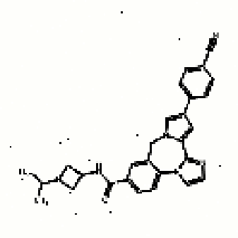 CC(C)N1CC(NC(=O)c2ccc3c(c2)Cn2cc(-c4ccc(C#N)cc4)cc2-c2nccn2-3)C1